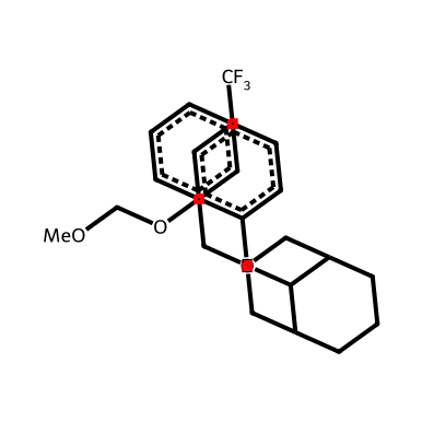 COCOc1cc(C(F)(F)F)ccc1OC1C2CCCC1CN(Cc1ccccc1)C2